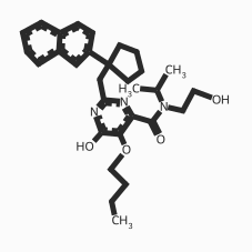 CCCCOc1c(O)nc(CC2(c3ccc4ccccc4c3)CCCC2)nc1C(=O)N(CCO)C(C)C